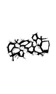 CC1(C)c2ccccc2N2c3c1cccc3C(C)(C)c1ccc3cc4c5c(ccc4cc3c12)C(C)(C)c1cccc2c1N5c1ccccc1C2(C)C